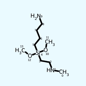 CNCC[Si](CCCCN)(OC)OC